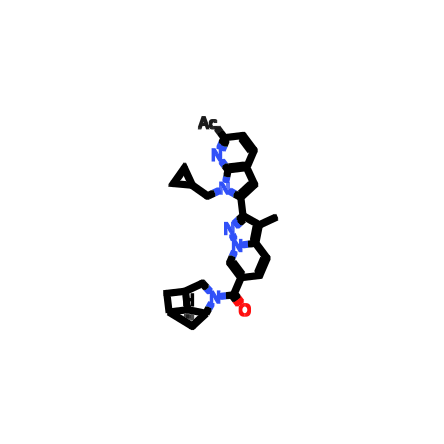 CC(=O)c1ccc2cc(-c3nn4cc(C(=O)N5CC6CC7CC5[C@H]76)ccc4c3C)n(CC3CC3)c2n1